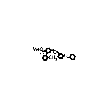 COC(=O)c1ccc(COCc2cccc(OCC3CCCCC3)c2)cc1-c1ccccc1C